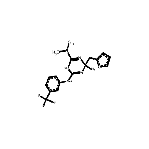 CN(C)C1=NC(N)(Cc2ccco2)N=C(Nc2cccc(C(F)(F)F)c2)N1